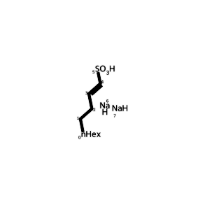 CCCCCCCCC=CS(=O)(=O)O.[NaH].[NaH]